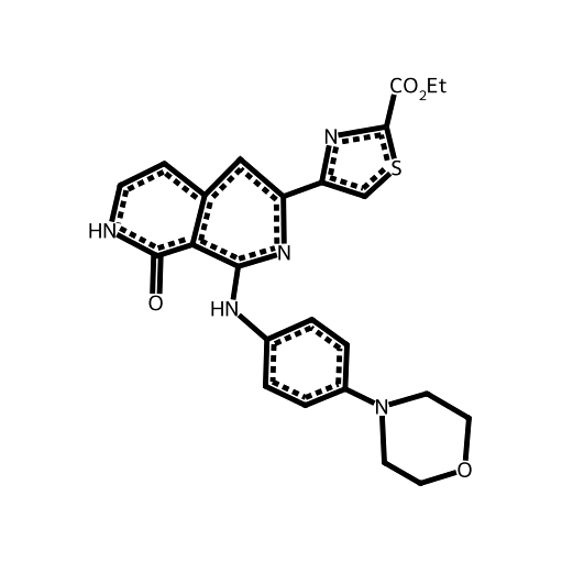 CCOC(=O)c1nc(-c2cc3cc[nH]c(=O)c3c(Nc3ccc(N4CCOCC4)cc3)n2)cs1